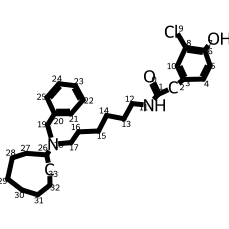 O=C(Cc1ccc(O)c(Cl)c1)NCCCCCCN(Cc1ccccc1)C1CCCCCCC1